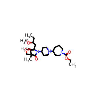 CCOC(=O)N1CCCC(N2CCC(N3C(=O)C(C)(CO)C(C)=C3CC(CC)OC)CC2)CC1